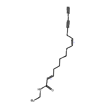 C#CC#CC/C=C\CCCCC/C=C/C(=O)NCC(C)CC